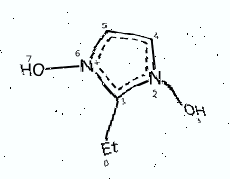 CCc1n(O)cc[n+]1O